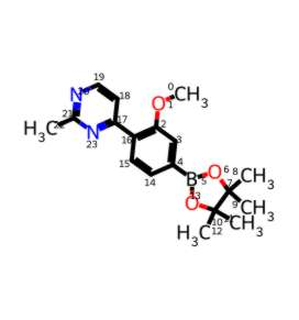 COc1cc(B2OC(C)(C)C(C)(C)O2)ccc1-c1ccnc(C)n1